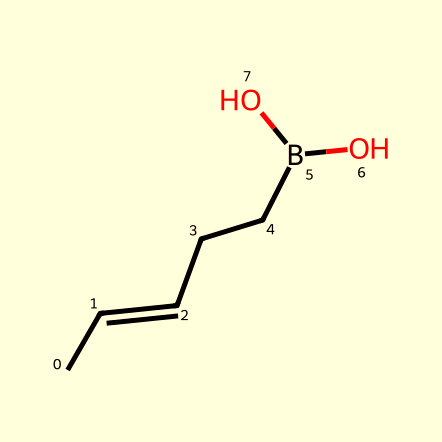 C/C=C/CCB(O)O